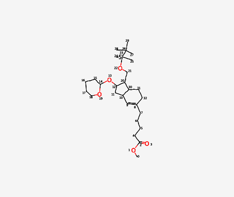 COC(=O)CCCCC1=CC2CC(OC3CCCCO3)C(CO[Si](C)(C)C(C)(C)C)C2CC1